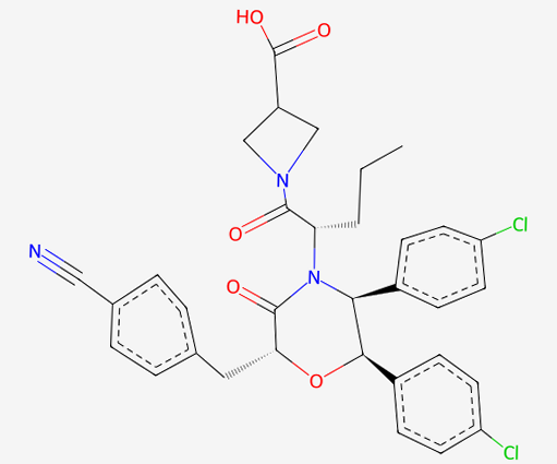 CCC[C@@H](C(=O)N1CC(C(=O)O)C1)N1C(=O)[C@@H](Cc2ccc(C#N)cc2)O[C@H](c2ccc(Cl)cc2)[C@@H]1c1ccc(Cl)cc1